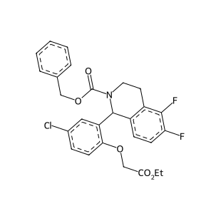 CCOC(=O)COc1ccc(Cl)cc1C1c2ccc(F)c(F)c2CCN1C(=O)OCc1ccccc1